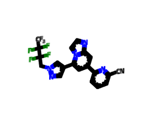 N#Cc1cccc(-c2cc(-c3cnn(CC(F)(F)C(F)(F)C(F)(F)F)c3)n3ccnc3c2)n1